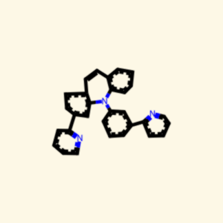 C1=Cc2ccc(-c3ccccn3)cc2N(c2cccc(-c3ccccn3)c2)c2ccccc21